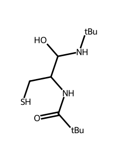 CC(C)(C)NC(O)C(CS)NC(=O)C(C)(C)C